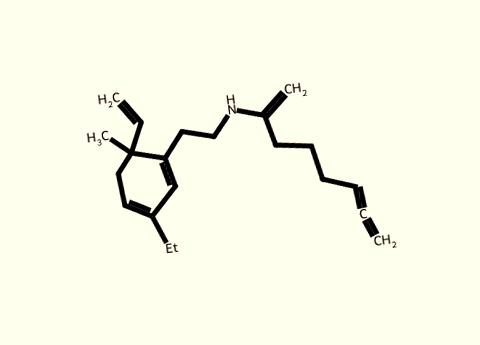 C=C=CCCCC(=C)NCCC1=CC(CC)=CCC1(C)C=C